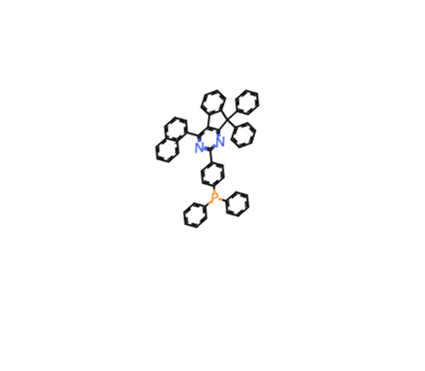 c1ccc(P(c2ccccc2)c2ccc(-c3nc(-c4cccc5ccccc45)c4c(n3)C(c3ccccc3)(c3ccccc3)c3ccccc3-4)cc2)cc1